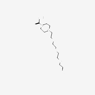 COCCOCCOCCOCCN1CCN(C(=O)O)CC1